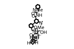 CNC(=O)[C@H](Cc1ccccc1)NC(=O)c1cc(-c2cccc(CN3O[C@@H](CO)[C@@H]([C@H](C)O)[C@H]3C(=O)N[C@@H]3C[C@H]4C[C@@H]([C@@H]3C)C4(C)C)c2OC)cc(N(C)C)c1